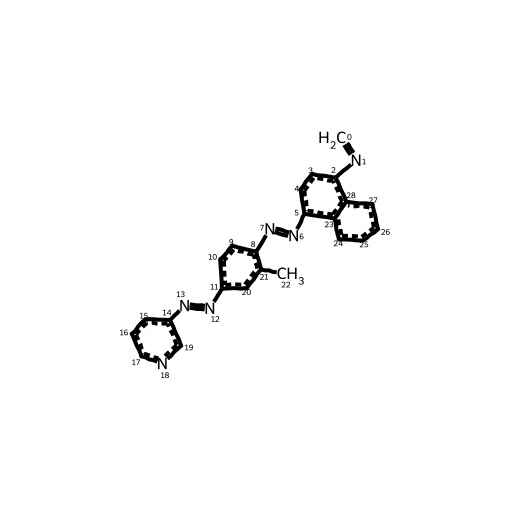 C=Nc1ccc(/N=N/c2ccc(/N=N/c3cccnc3)cc2C)c2ccccc12